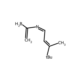 BC(=C)/N=C\C=C(/C)C(C)(C)C